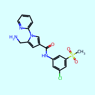 CS(=O)(=O)c1cc(Cl)cc(NC(=O)c2cc(CN)n(-c3ccccn3)c2)c1